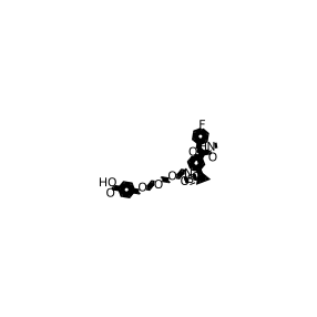 CNC(=O)c1c(-c2ccc(F)cc2)oc2cc(N(CCOCCOCCOCc3ccc(C(=O)O)cc3)S(C)(=O)=O)c(C3CC3)cc12